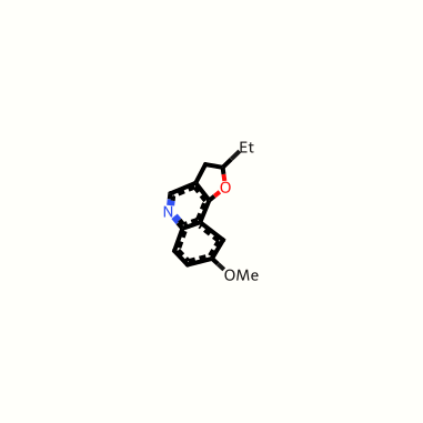 CCC1Cc2cnc3ccc(OC)cc3c2O1